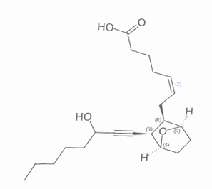 CCCCCC(O)C#C[C@H]1[C@@H](C/C=C\CCCC(=O)O)[C@H]2CC[C@@H]1O2